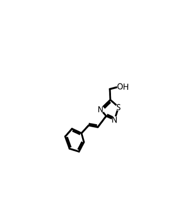 OCc1nc(/C=C/c2ccccc2)ns1